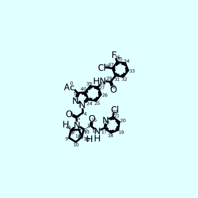 CC(=O)c1nn(CC(=O)N2[C@@H]3CC[C@@H](C3)[C@H]2C(=O)Nc2cccc(Cl)n2)c2ccc(NC(=O)c3cccc(F)c3Cl)cc12